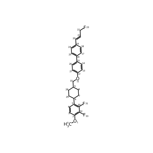 COc1ccc(C2CCC(COc3ccc(-c4ccc(/C=C/CF)cc4)cc3)CC2)c(F)c1F